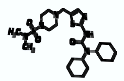 CN(C)S(=O)(=O)N1CCN(Cc2cnc(NC(=O)N(C3CCCCC3)C3CCCCC3)s2)CC1